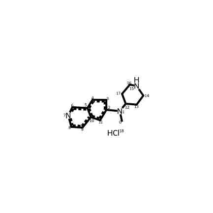 CN(c1ccc2cnccc2c1)C1CCNCC1.Cl